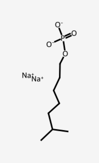 CC(C)CCCCCOP(=O)([O-])[O-].[Na+].[Na+]